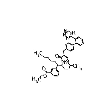 CCCCCC(c1cccc(C(=O)OCC)c1)C1CCC(C)n2cc(Cc3ccc(-c4ccccc4-c4nnn[nH]4)cc3)c(=O)n21